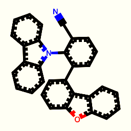 N#Cc1cccc(-c2cccc3oc4ccccc4c23)c1-n1c2ccccc2c2ccccc21